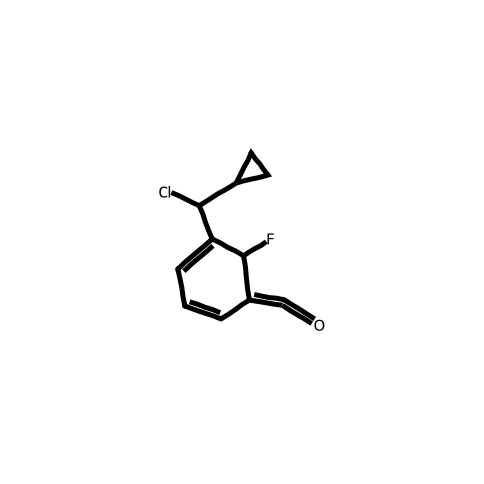 O=C=C1C=CC=C(C(Cl)C2CC2)C1F